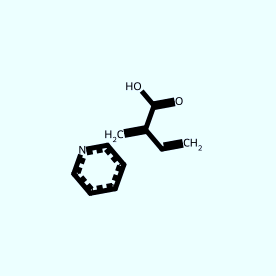 C=CC(=C)C(=O)O.c1ccncc1